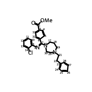 COC(=O)c1ccc(C(=Nc2ccccc2Cl)N2CCCN(CCc3ccccc3)CC2)cc1